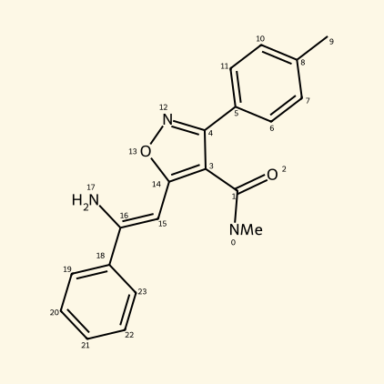 CNC(=O)c1c(-c2ccc(C)cc2)noc1C=C(N)c1ccccc1